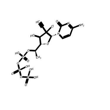 C#CC1(Cl)C(O)[C@@H]([C@@H](C)OP(=O)(O)OP(=O)(O)OP(=O)(O)O)O[C@H]1n1ccc(N)nc1=O